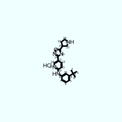 CC(C)(C)c1cccc(Nc2ccc(-c3noc(C4CCNC4)n3)cn2)c1.Cl